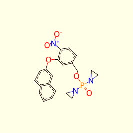 O=[N+]([O-])c1ccc(COP(=O)(N2CC2)N2CC2)cc1Oc1ccc2ccccc2c1